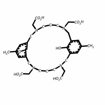 Cc1cc2c(O)c(c1)CN(CC(=O)O)CCCN(CC(=O)O)Cc1cc(C)cc(c1O)CN(CC(=O)O)CCCN(CC(=O)O)C2